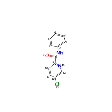 O=C(Nc1c[c]ccc1)c1ccc(Cl)cn1